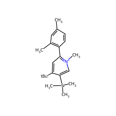 Cc1ccc(-c2cc(C(C)(C)C)c([Si](C)(C)C)c[n+]2C)c(C)c1